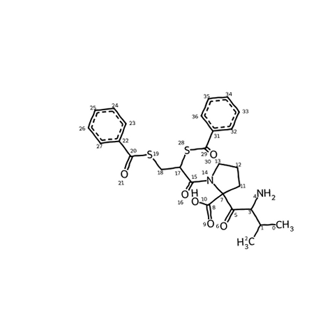 CC(C)C(N)C(=O)C1(C(=O)O)CCCN1C(=O)C(CSC(=O)c1ccccc1)SC(=O)c1ccccc1